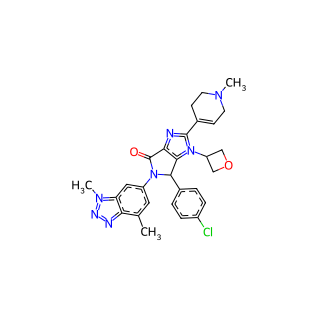 Cc1cc(N2C(=O)c3nc(C4=CCN(C)CC4)n(C4COC4)c3C2c2ccc(Cl)cc2)cc2c1nnn2C